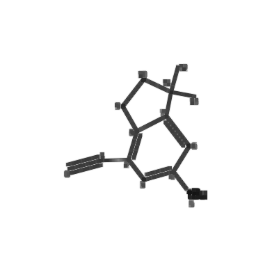 C#Cc1cc(C(C)(C)C)cc2c1CCC2(C)C